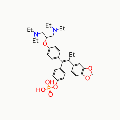 CCC(=C(c1ccc(OC(CN(CC)CC)CN(CC)CC)cc1)c1ccc(OP(=O)(O)O)cc1)c1ccc2c(c1)OCO2